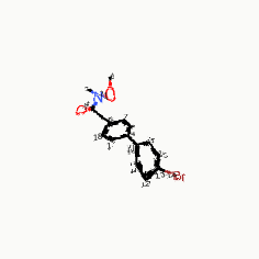 CON(C)C(=O)c1ccc(-c2ccc(Br)cc2)cc1